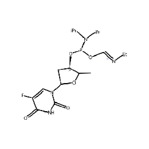 CC/N=C/OP(O[C@@H]1CC(n2cc(F)c(=O)[nH]c2=O)OC1C)N(C(C)C)C(C)C